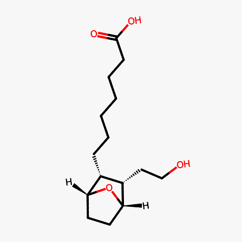 O=C(O)CCCCCC[C@@H]1[C@H](CCO)[C@@H]2CC[C@H]1O2